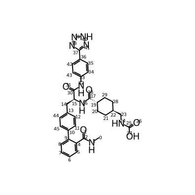 CNC(=O)c1ccccc1-c1ccc(C[C@H](NC(=O)[C@H]2CC[C@H](CNC(=O)O)CC2)C(=O)Nc2ccc(-c3nn[nH]n3)cc2)cc1